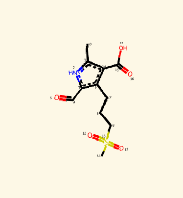 Cc1[nH]c(C=O)c(CCCS(C)(=O)=O)c1C(=O)O